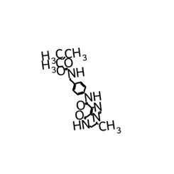 C[C@H]1CNC(=O)c2c(C(=O)Nc3ccc(CNC(=O)OC(C)(C)C)cc3)ncn21